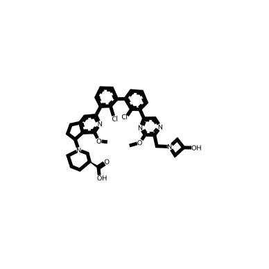 COc1nc(-c2cccc(-c3cccc(-c4cc5c(c(OC)n4)C(N4CCC[C@H](C(=O)O)C4)CC5)c3Cl)c2Cl)cnc1CN1CC(O)C1